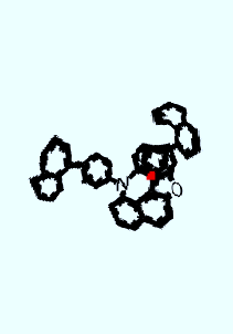 c1ccc2c(-c3ccc(N(c4ccc(-c5cccc6ccccc56)cc4)c4cccc5ccc6oc7ccccc7c6c45)cc3)cccc2c1